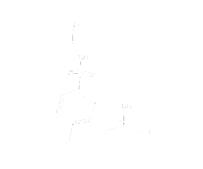 Cc1ccc(S(=O)(=O)NCC(C)C)cc1C[C@H](N)C(=O)O